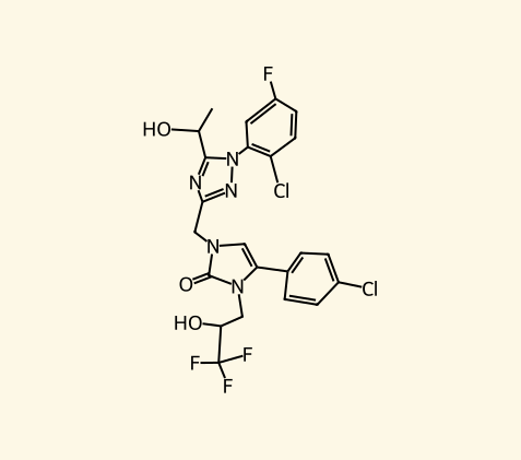 CC(O)c1nc(Cn2cc(-c3ccc(Cl)cc3)n(CC(O)C(F)(F)F)c2=O)nn1-c1cc(F)ccc1Cl